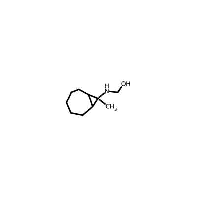 CC1(NCO)C2CCCCCC21